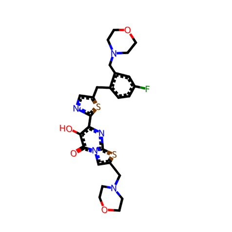 O=c1c(O)c(-c2ncc(Cc3ccc(F)cc3CN3CCOCC3)s2)nc2sc(CN3CCOCC3)cn12